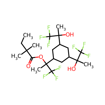 CCC(C)(C)C(=O)OC(C)(C1CC(C(C)(O)C(F)(F)F)CC(C(C)(O)C(F)(F)F)C1)C(F)(F)F